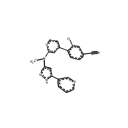 CN(c1cc(-c2ccc(C#N)cc2Cl)ccn1)c1cc(-c2cccnc2)[nH]n1